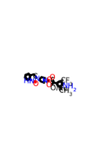 CO[C@H](OC(=O)N1CCC(N2CCc3ccccc3NC2=O)CC1)C(=C=O)c1cc(C)c(N)c(C(F)(F)F)c1